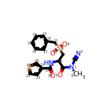 CN(C#N)C(=O)C(CS(=O)(=O)Cc1ccccc1)NC(=O)c1ccsc1